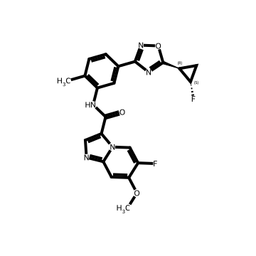 COc1cc2ncc(C(=O)Nc3cc(-c4noc([C@H]5C[C@@H]5F)n4)ccc3C)n2cc1F